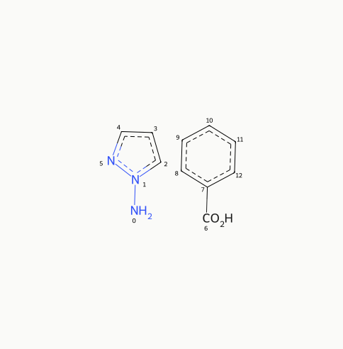 Nn1cccn1.O=C(O)c1ccccc1